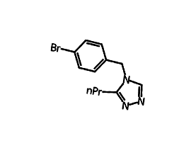 CCCc1nncn1Cc1ccc(Br)cc1